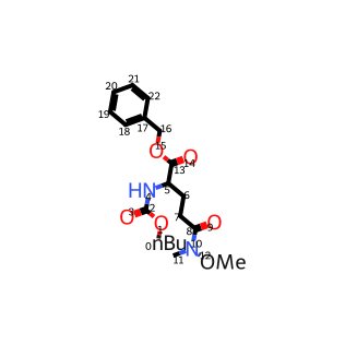 CCCCOC(=O)NC(CCC(=O)N(C)OC)C(=O)OCc1ccccc1